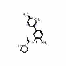 C=C(F)/C=C\C(=C/C)c1ccc(N)c(NC(=O)N2CCCN2)c1